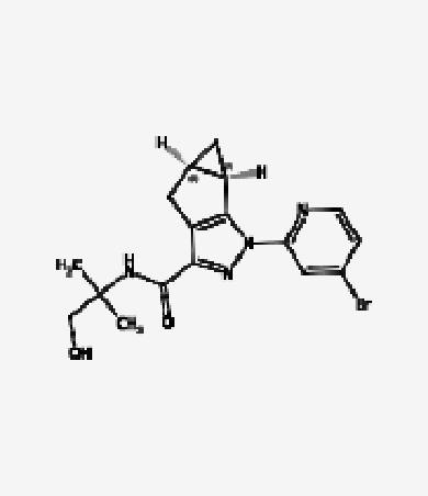 CC(C)(CO)NC(=O)c1nn(-c2cc(Br)ccn2)c2c1C[C@H]1C[C@@H]21